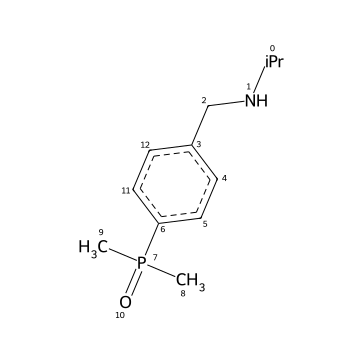 CC(C)NCc1ccc(P(C)(C)=O)cc1